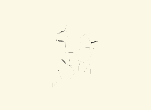 Cc1ccc([C@@H]2C=C3CC(O)CCC3(C)[C@@H]3C2C2CCC(=O)C2(C)C[C@H]3O)o1